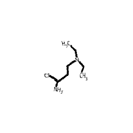 CCN(CC)CCC(N)Cl